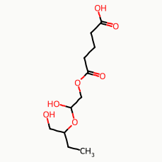 CCC(CO)OC(O)COC(=O)CCCC(=O)O